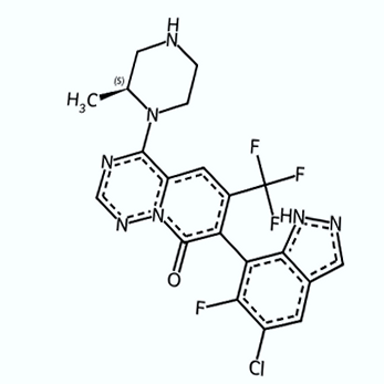 C[C@H]1CNCCN1c1ncnn2c(=O)c(-c3c(F)c(Cl)cc4cn[nH]c34)c(C(F)(F)F)cc12